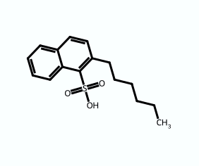 CCCCCCc1ccc2ccccc2c1S(=O)(=O)O